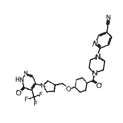 N#Cc1ccc(N2CCN(C(=O)C3CCC(OCC4CCN(c5cn[nH]c(=O)c5C(F)(F)F)C4)CC3)CC2)nc1